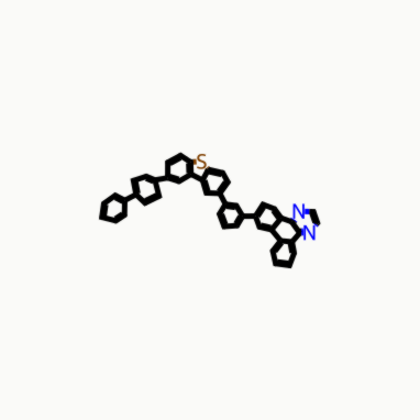 c1ccc(-c2ccc(-c3ccc4sc5ccc(-c6cccc(-c7ccc8c(c7)c7ccccc7c7nccnc87)c6)cc5c4c3)cc2)cc1